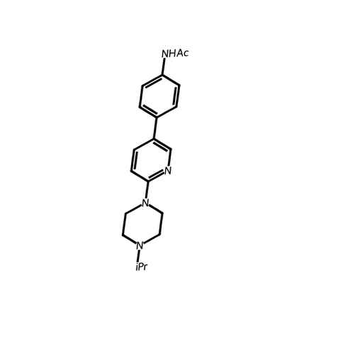 CC(=O)Nc1ccc(-c2ccc(N3CCN(C(C)C)CC3)nc2)cc1